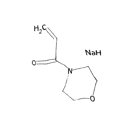 C=CC(=O)N1CCOCC1.[NaH]